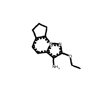 CCOc1nn2c3c(ccc2c1N)CCC3